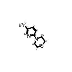 CC(C)c1ccc(N2CCSCC2)nc1